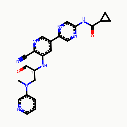 CN(C[C@@H](C=O)Nc1cc(-c2cnc(NC(=O)C3CC3)cn2)cnc1C#N)c1cccnc1